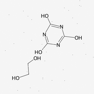 OCCO.Oc1nc(O)nc(O)n1